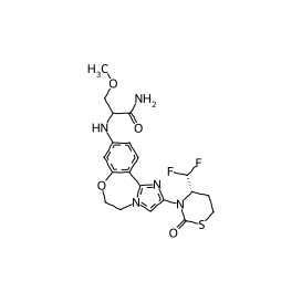 COCC(Nc1ccc2c(c1)OCCn1cc(N3C(=O)SCC[C@H]3C(F)F)nc1-2)C(N)=O